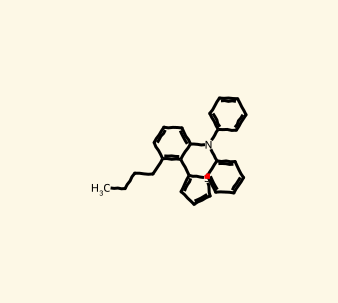 CCCCc1cccc(N(c2ccccc2)c2ccccc2)c1-c1cccs1